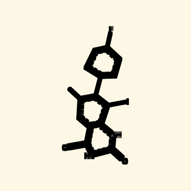 Cc1cc2c(=O)[nH]c(=O)[nH]c2c(I)c1-c1ccc(F)cc1